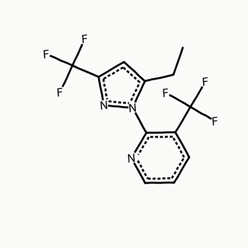 CCc1cc(C(F)(F)F)nn1-c1ncccc1C(F)(F)F